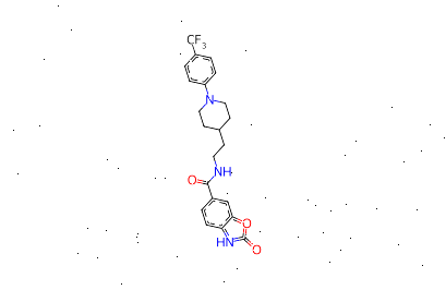 O=C(NCCC1CCN(c2ccc(C(F)(F)F)cc2)CC1)c1ccc2[nH]c(=O)oc2c1